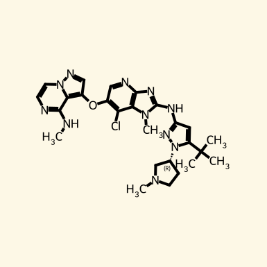 CNc1nccn2ncc(Oc3cnc4nc(Nc5cc(C(C)(C)C)n([C@@H]6CCN(C)C6)n5)n(C)c4c3Cl)c12